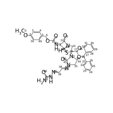 COc1ccc(COC(=O)N[C@@H]2C(=O)N3C[C@@](C(=O)OC(c4ccccc4)c4ccccc4)(N4CCN(N=CC=NNC(N)=O)C4=O)S[C@H]23)cc1